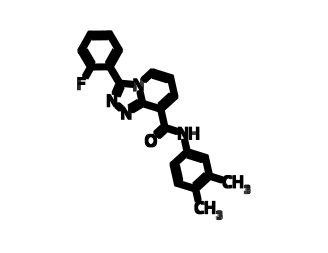 Cc1ccc(NC(=O)c2cccn3c(-c4ccccc4F)nnc23)cc1C